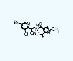 Cn1cc(C(=O)NCC(C#N)c2ncc(Br)cc2Cl)c(C(F)F)n1